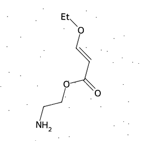 CCOC=CC(=O)OCCN